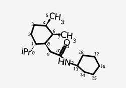 CC(C)[C@@H]1CC[C@@H](C)[C@@H](C)[C@H]1CC(=O)NC1CCCCC1